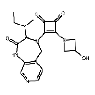 CCC(C)C1C(=O)Nc2cnccc2CN1c1c(N2CC(O)C2)c(=O)c1=O